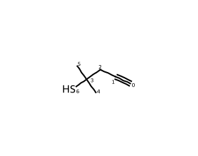 C#CCC(C)(C)S